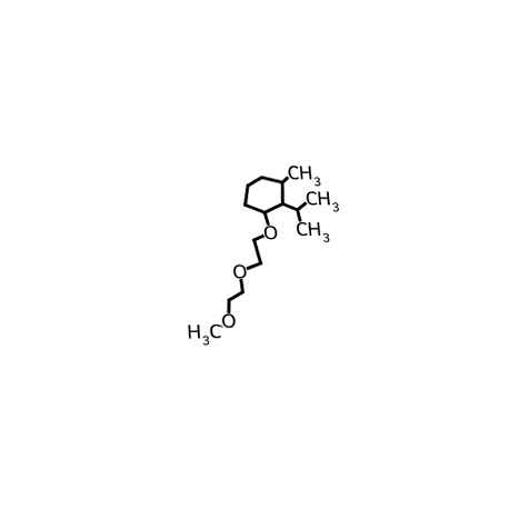 COCCOCCOC1CCCC(C)C1C(C)C